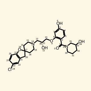 O=C(c1ccc(O)cc1OC[C@H](O)CN1CCC2(CC1)Cc1cc(Cl)ccc1O2)N1CCCC(O)C1